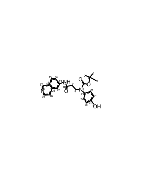 CC(C)(C)OC(=O)N(CCC(=O)Nc1ccc2cnccc2c1)c1ccc(O)cc1